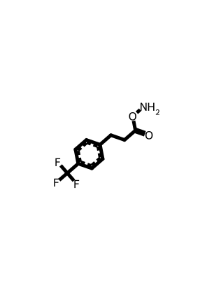 NOC(=O)CCc1ccc(C(F)(F)F)cc1